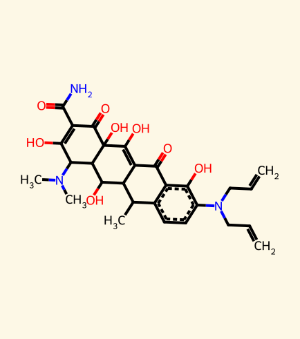 C=CCN(CC=C)c1ccc2c(c1O)C(=O)C1=C(O)C3(O)C(=O)C(C(N)=O)=C(O)C(N(C)C)C3C(O)C1C2C